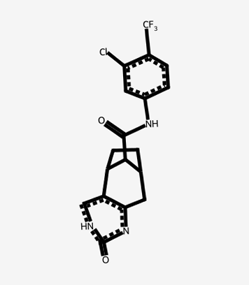 O=C(Nc1ccc(C(F)(F)F)c(Cl)c1)C1C2CCC1c1c[nH]c(=O)nc1C2